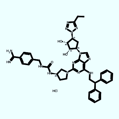 CCc1nnn([C@H]2C[C@@H](n3cnc4c(NCC(c5ccccc5)c5ccccc5)nc(N5CC[C@@H](NC(=O)NCc6ccc(C(=N)N)cc6)C5)nc43)[C@H](O)[C@@H]2O)n1.Cl